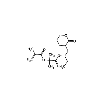 C=C(C)C(=O)OC(C)(C)C(=O)OC(CC)CC1CCCOC1=O